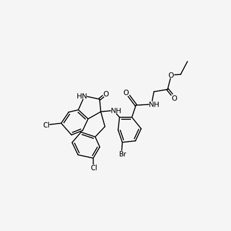 CCOC(=O)CNC(=O)c1ccc(Br)cc1NC1(Cc2cccc(Cl)c2)C(=O)Nc2cc(Cl)ccc21